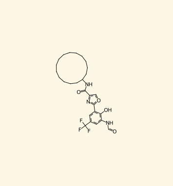 O=CNc1cc(C(F)(F)F)cc(-c2nc(C(=O)NC3CCCCCCCCCCCCCC3)co2)c1O